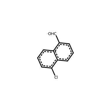 O=[C]c1cccc2c(Cl)cccc12